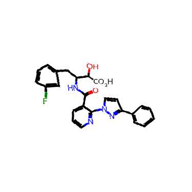 O=C(NC(Cc1cccc(F)c1)C(O)C(=O)O)c1cccnc1-n1ccc(-c2ccccc2)n1